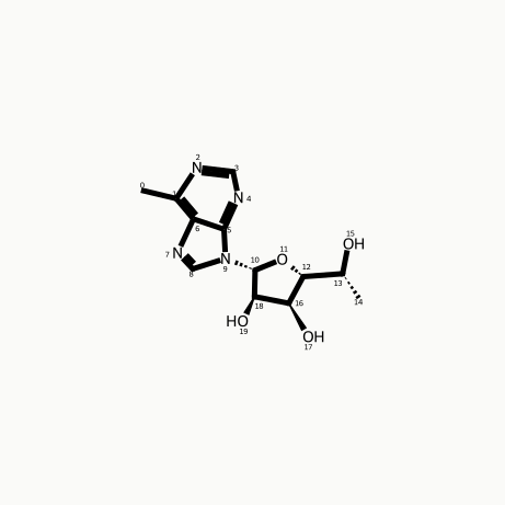 Cc1ncnc2c1ncn2[C@@H]1O[C@H]([C@@H](C)O)[C@@H](O)[C@H]1O